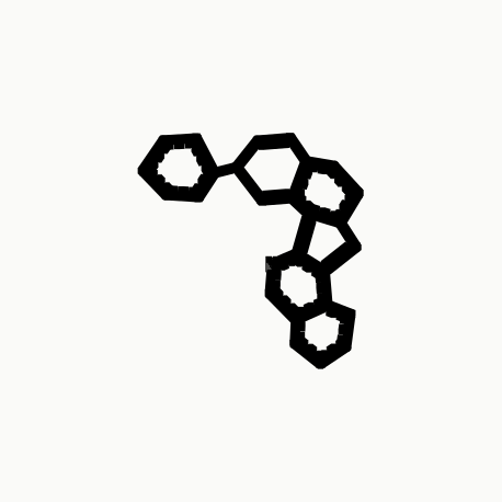 C1=CC(c2ccccc2)C=c2c1ccc1c2=c2ncc3ccccc3c2=C1